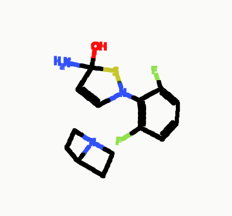 C1CN2CCC12.NC1(O)C=CN(c2c(F)cccc2F)S1